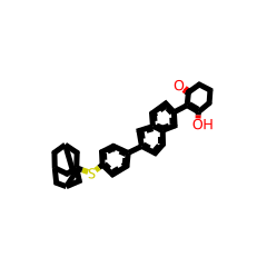 O=C1CCCC(O)=C1c1ccc2cc(-c3ccc(SC45CC6CC(CC(C6)C4)C5)cc3)ccc2c1